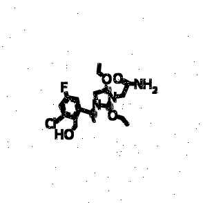 CCO[C@@H]1N(CC(N)=O)[C@@H](OCC)CN1[C@@H](C)c1cc(F)cc(Cl)c1CO